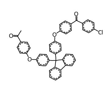 CC(=O)c1ccc(Oc2ccc(C3(c4ccc(Oc5ccc(C(=O)c6ccc(Cl)cc6)cc5)cc4)c4ccccc4-c4ccccc43)cc2)cc1